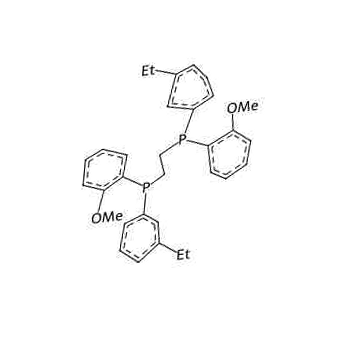 CCc1cccc(P(CCP(c2cccc(CC)c2)c2ccccc2OC)c2ccccc2OC)c1